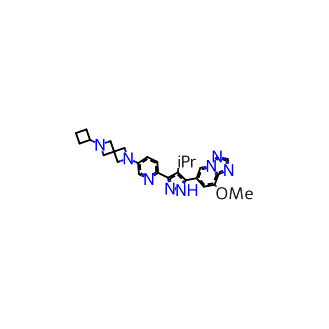 COc1cc(-c2[nH]nc(-c3ccc(N4CC5(C4)CN(C4CCC4)C5)cn3)c2C(C)C)cn2ncnc12